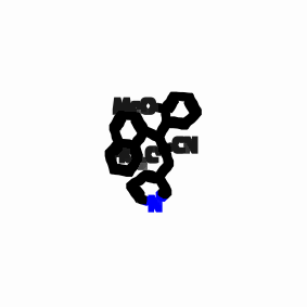 COc1ccccc1C(c1cccc2ccccc12)C(C#N)(Cc1cccnc1)C(=O)O